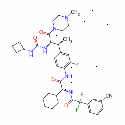 C[C@@H](c1ccc(NC(=O)[C@@H](NC(=O)C(F)(F)c2cccc(C#N)c2)C2CCCCC2)c(F)c1)[C@@H](NC(=O)NC1CCC1)C(=O)N1CCN(C)CC1